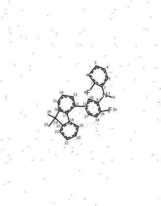 CN(c1ccccc1F)c1cc(-c2cccc3c2-c2ccccc2C3(C)C)ccc1F